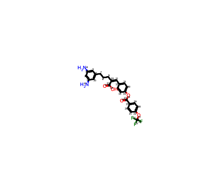 Nc1cc(N)cc(CCCC(=Cc2ccc(OC(=O)c3ccc(OC(F)(F)F)cc3)cc2)C(=O)O)c1